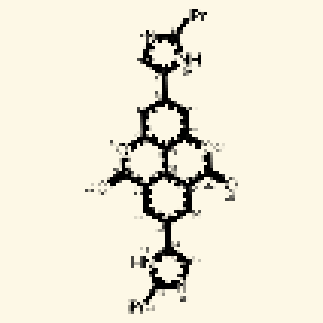 CC(C)c1ncc(-c2cc3oc(=O)c4cc(-c5cnc(C(C)C)[nH]5)cc5c(=O)oc(c2)c3c45)[nH]1